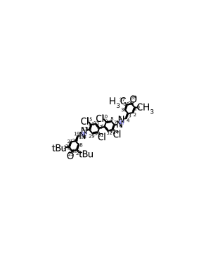 CC1=CC(=C/N=N/c2cc(Cl)c(-c3cc(Cl)c(/N=N/C=C4C=C(C(C)(C)C)C(=O)C(C(C)(C)C)=C4)cc3Cl)cc2Cl)C=C(C)C1=O